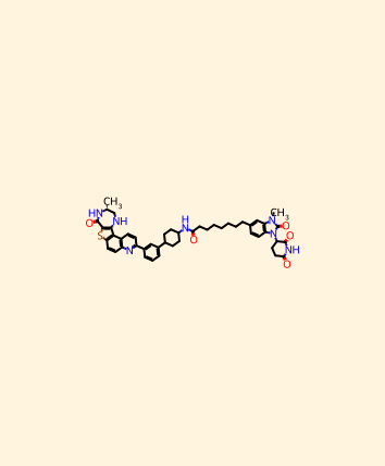 C[C@@H]1CNc2c(sc3ccc4nc(-c5cccc(C6CCC(NC(=O)CCCCCCCc7ccc8c(c7)n(C)c(=O)n8C7CCC(=O)NC7=O)CC6)c5)ccc4c23)C(=O)N1